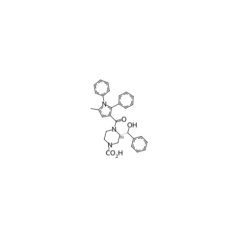 Cc1cc(C(=O)N2CCN(C(=O)O)C[C@H]2C(O)c2ccccc2)c(-c2ccccc2)n1-c1ccccc1